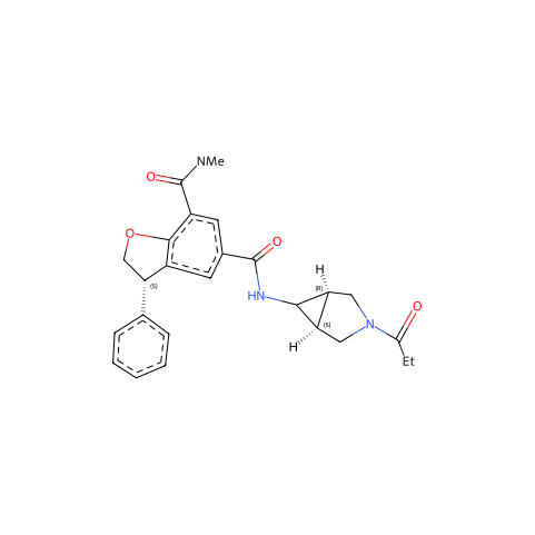 CCC(=O)N1C[C@@H]2C(NC(=O)c3cc(C(=O)NC)c4c(c3)[C@H](c3ccccc3)CO4)[C@@H]2C1